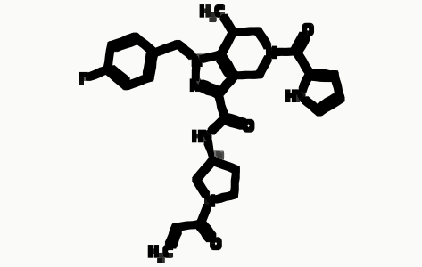 C=CC(=O)N1CC[C@H](NC(=O)c2nn(Cc3ccc(F)cc3)c3c2CN(C(=O)c2ccc[nH]2)CC3C)C1